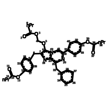 CCCC(=O)OCOc1c(Cc2ccc(OC(=O)CCC)cc2)nc2c(Cc3ccccc3)nc(-c3ccc(OC(=O)CCC)cc3)cn12